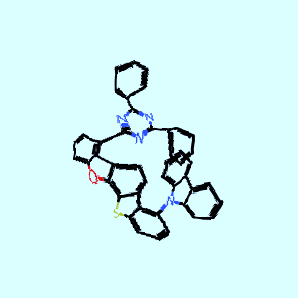 c1ccc(-c2nc(-c3ccccc3)nc(-c3cccc4oc5c(ccc6c5sc5cccc(-n7c8ccccc8c8ccccc87)c56)c34)n2)cc1